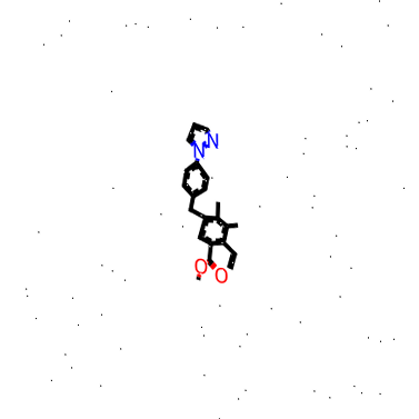 C=Cc1c(C(=O)OC)cc(Cc2ccc(-n3cccn3)cc2)c(C)c1C